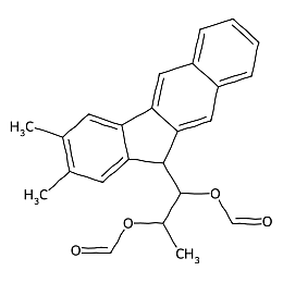 Cc1cc2c(cc1C)C(C(OC=O)C(C)OC=O)c1cc3ccccc3cc1-2